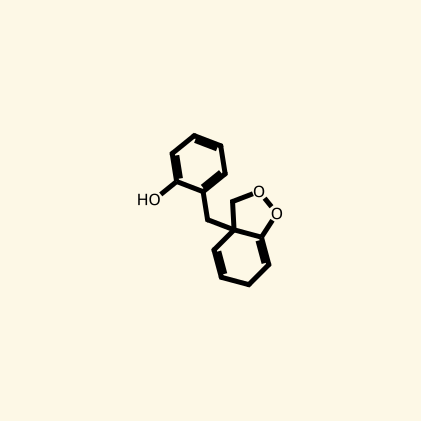 Oc1ccccc1CC12C=CCC=C1OOC2